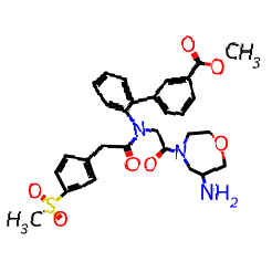 COC(=O)c1cccc(-c2ccccc2N(CC(=O)N2CCOCC(N)C2)C(=O)Cc2ccc(S(C)(=O)=O)cc2)c1